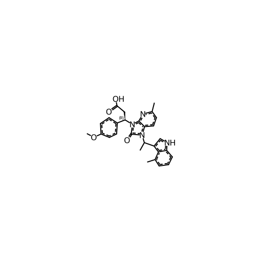 COc1ccc([C@@H](CC(=O)O)n2c(=O)n(C(C)c3c[nH]c4cccc(C)c34)c3ccc(C)nc32)cc1